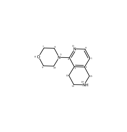 c1cc2c(c(N3CCOCC3)n1)CCNC2